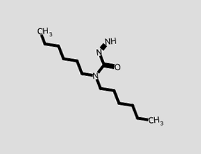 CCCCCCN(CCCCCC)C(=O)N=N